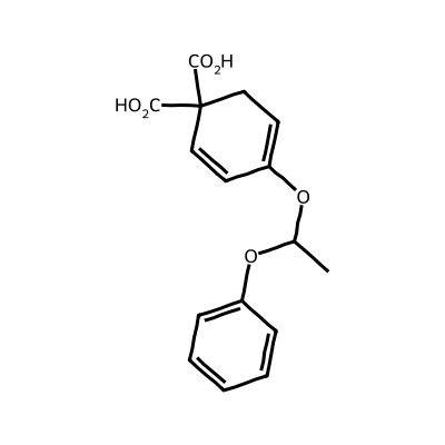 CC(OC1=CCC(C(=O)O)(C(=O)O)C=C1)Oc1ccccc1